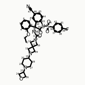 CCOc1ccccc1[C@]1(NC(=O)N2CC3(C2)CN(C2CCN(C4COC4)CC2)C3)C(=O)N(S(=O)(=O)c2ccc(F)cc2)c2ccc(C#N)cc21